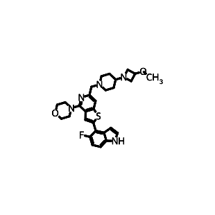 COC1CN(C2CCN(Cc3cc4sc(-c5c(F)ccc6[nH]ccc56)cc4c(N4CCOCC4)n3)CC2)C1